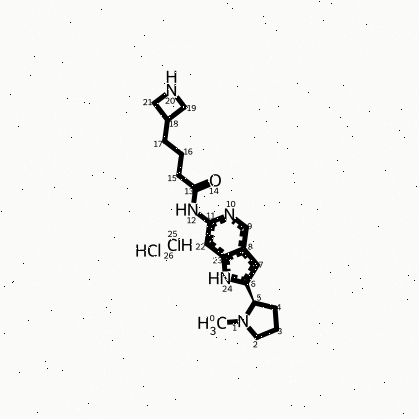 CN1CCC[C@@H]1c1cc2cnc(NC(=O)CCCC3CNC3)cc2[nH]1.Cl.Cl